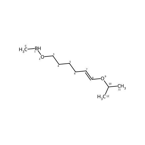 CBOCCCC/C=C/OC(C)C